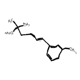 COC(C)(C)CC/C=C/C1=CC(C)CC=C1